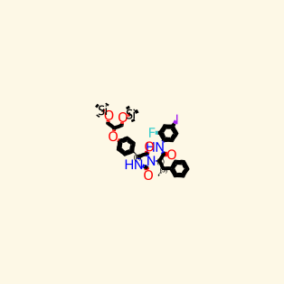 C[C@@H](c1ccccc1)[C@@H](C(=O)Nc1ccc(I)cc1F)N1C(=O)N[C@H](c2ccc(OC(CO[Si](C)(C)C)CO[Si](C)(C)C)cc2)C1=O